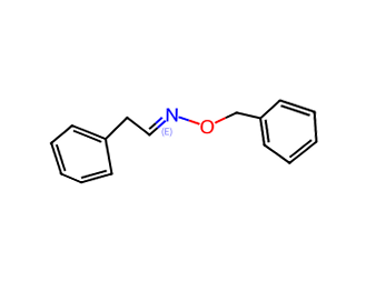 C(/Cc1ccccc1)=N\OCc1ccccc1